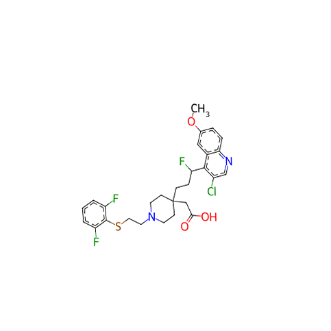 COc1ccc2ncc(Cl)c(C(F)CCC3(CC(=O)O)CCN(CCSc4c(F)cccc4F)CC3)c2c1